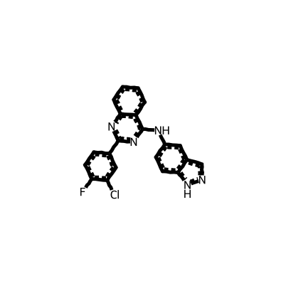 Fc1ccc(-c2nc(Nc3ccc4[nH]ncc4c3)c3ccccc3n2)cc1Cl